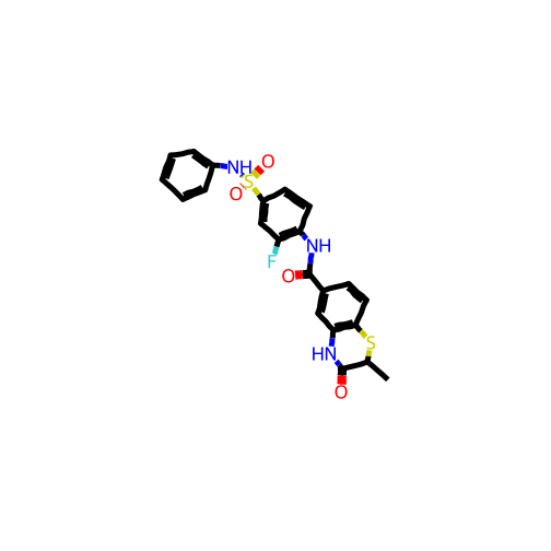 CC1Sc2ccc(C(=O)Nc3ccc(S(=O)(=O)Nc4ccccc4)cc3F)cc2NC1=O